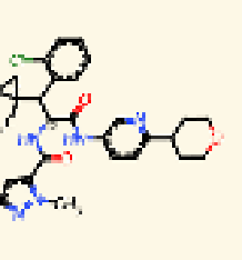 Cn1nccc1C(=O)N[C@H](C(=O)Nc1ccc(C2CCOCC2)nc1)C(c1ccccc1Cl)C1(C)CC1